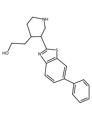 OCCC1CCNCC1c1nc2ccc(-c3ccccc3)cc2s1